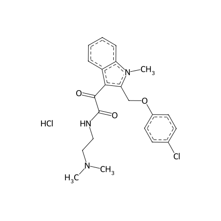 CN(C)CCNC(=O)C(=O)c1c(COc2ccc(Cl)cc2)n(C)c2ccccc12.Cl